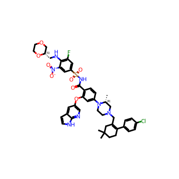 C[C@@H]1CN(CC2=C(c3ccc(Cl)cc3)CCC(C)(C)C2)CCN1c1ccc(C(=O)NS(=O)(=O)c2cc(F)c(NC[C@H]3COCCO3)c([N+](=O)[O-])c2)c(Oc2cnc3[nH]ccc3c2)c1